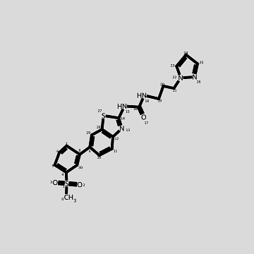 CS(=O)(=O)c1cccc(-c2ccc3nc(NC(=O)NCCCn4cccn4)sc3c2)c1